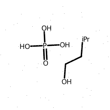 CC(C)CCO.O=P(O)(O)O